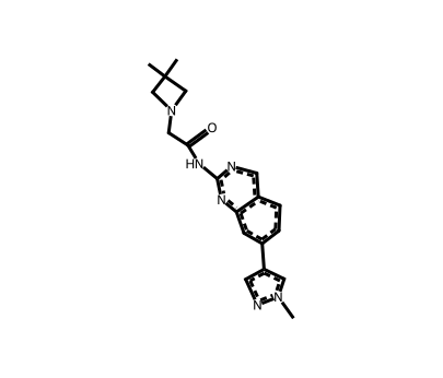 Cn1cc(-c2ccc3cnc(NC(=O)CN4CC(C)(C)C4)nc3c2)cn1